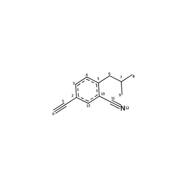 C#Cc1ccc(CC(C)C)c(C#N)c1